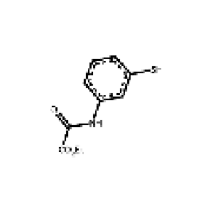 CCOC(=O)C(=O)Nc1cccc(S)c1